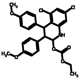 CCOC(=O)OC1Nc2cc(Cl)cc(Cl)c2C(c2ccc(OC)cc2)C1c1ccc(OC)cc1